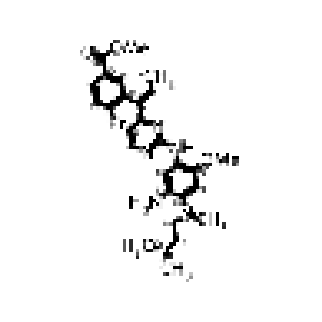 C/C=C(/c1ccnc(Nc2cc(N)c(N(C)CCN(C)C)cc2OC)n1)c1cc(C(=O)OC)ccc1CC